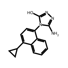 Nc1nnc(O)n1-c1ccc(C2CC2)c2ccccc12